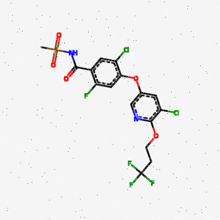 CS(=O)(=O)NC(=O)c1cc(Cl)c(Oc2cnc(OCCC(F)(F)F)c(Cl)c2)cc1F